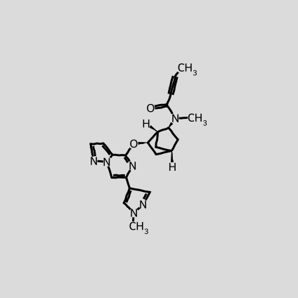 CC#CC(=O)N(C)[C@H]1C[C@H]2C[C@@H]1[C@H](Oc1nc(-c3cnn(C)c3)cn3nccc13)C2